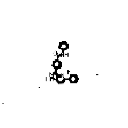 O=C(Nc1ccccc1)c1ccc(-c2n[nH]c3ccc(-c4ccccc4F)nc23)cc1